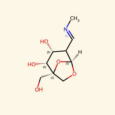 C/N=C/C1[C@H]2OC[C@](CO)(O2)[C@H](O)[C@@H]1O